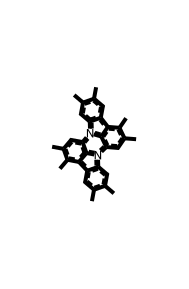 Cc1cc2c3c(C)c(C)cc4c3n(c2cc1C)c1cc(C)c(C)c2c3cc(C)c(C)cc3n4c21